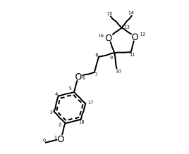 COc1ccc(OCCC2(C)COC(C)(C)O2)cc1